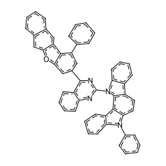 c1ccc(-c2cc(-c3nc(-n4c5ccccc5c5ccc6c(c7ccccc7n6-c6ccccc6)c54)nc4ccccc34)cc3oc4cc5ccccc5cc4c23)cc1